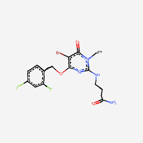 CC(C)n1c(NCCC(N)=O)nc(OCc2ccc(F)cc2F)c(Br)c1=O